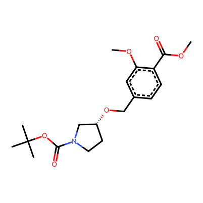 COC(=O)c1ccc(CO[C@@H]2CCN(C(=O)OC(C)(C)C)C2)cc1OC